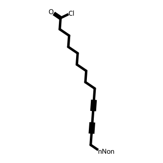 CCCCCCCCCCC#CC#CCCCCCCCCC(=O)Cl